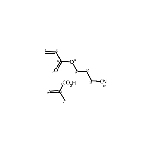 C=C(C)C(=O)O.C=CC(=O)OCCCC#N